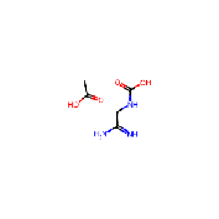 CC(=O)O.N=C(N)CNC(=O)O